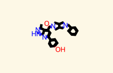 Cc1n[nH]c2nc(-c3ccc(O)cc3)cc(C(=O)N3CC4CN(Cc5ccccc5)CC4C3)c12